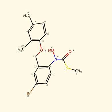 CSC(=O)N(O)c1ccc(Br)cc1COc1ccc(C)cc1C